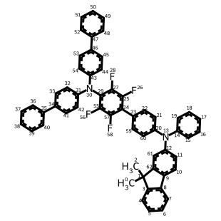 CC1(C)c2ccccc2-c2ccc(N(c3ccccc3)c3ccc(-c4c(F)c(F)c(N(c5ccc(-c6ccccc6)cc5)c5ccc(-c6ccccc6)cc5)c(F)c4F)cc3)cc21